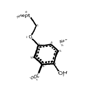 CCCCCCCCOc1ccc(O)c(C(=O)[O-])c1.[Na+]